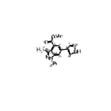 COC(=O)c1cc(-c2cn[nH]c2)cc2c1c(C)nn2C(C)C